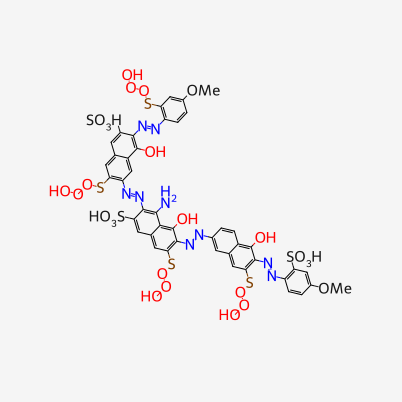 COc1ccc(N=Nc2c(S(=O)(=O)O)cc3cc(SOOO)c(N=Nc4c(S(=O)(=O)O)cc5cc(SOOO)c(N=Nc6ccc7c(O)c(N=Nc8ccc(OC)cc8S(=O)(=O)O)c(SOOO)cc7c6)c(O)c5c4N)cc3c2O)c(SOOO)c1